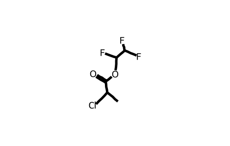 CC(Cl)C(=O)OC(F)C(F)F